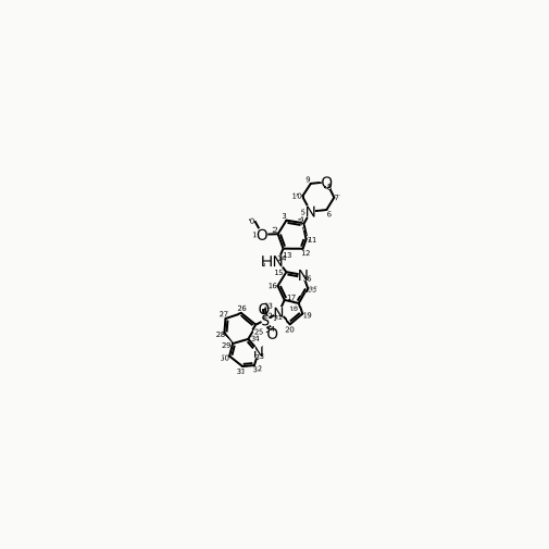 COc1cc(N2CCOCC2)ccc1Nc1cc2c(ccn2S(=O)(=O)c2cccc3cccnc23)cn1